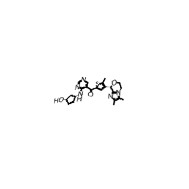 Cc1nc2n(c1C)CCO[C@H]2c1cc(C(=O)c2cncnc2N[C@@H]2CC[C@H](O)C2)sc1C